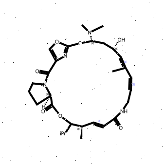 CC1=C\[C@@H](O)C[C@@H](N(C)C)Cc2nc(co2)C(=O)N2CCC[C@@H]2C(=O)OC(C(C)C)[C@H](C)/C=C/C(=O)NC\C=C\1